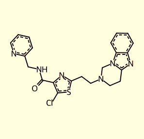 O=C(NCc1ccccn1)c1nc(CCN2CCc3nc4ccccc4n3C2)sc1Cl